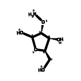 NO[C@H]1C(O)O[C@H](CO)[C@H]1O